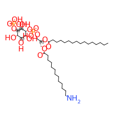 CCCCCCCCCCCCCCCC(=O)O[C@H](COC(=O)CCCCCCCCCCCCN)COP(=O)(O)OC1C(O)[C@@H](O)C(O)[C@@H](OP(=O)(O)O)[C@H]1O